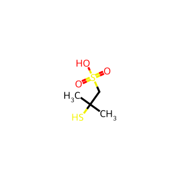 CC(C)(S)CS(=O)(=O)O